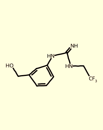 N=C(NCC(F)(F)F)Nc1cccc(CO)c1